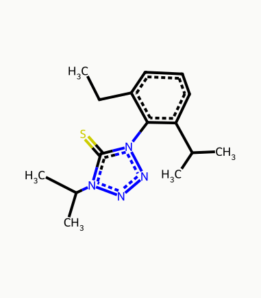 CCc1cccc(C(C)C)c1-n1nnn(C(C)C)c1=S